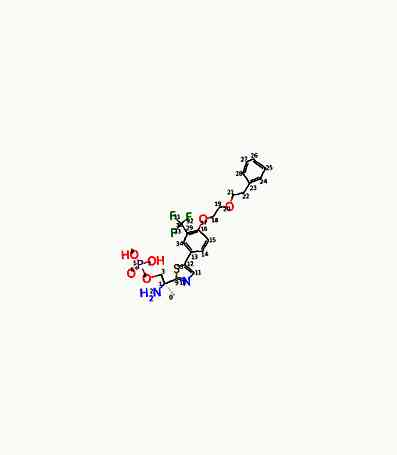 C[C@](N)(COP(=O)(O)O)c1ncc(-c2ccc(OCCOCCc3ccccc3)c(C(F)(F)F)c2)s1